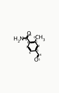 Cc1cc(C=O)ccc1C(N)=O